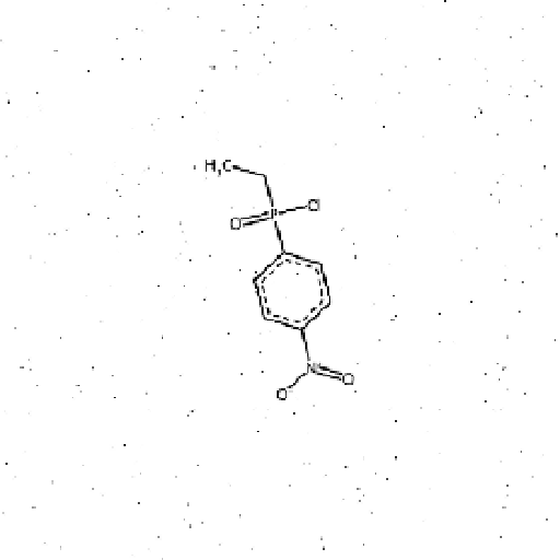 CCP(=O)(Cl)c1ccc([N+](=O)[O-])cc1